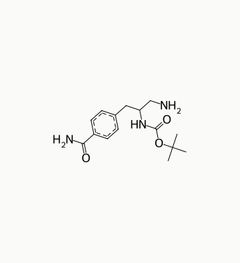 CC(C)(C)OC(=O)NC(CN)Cc1ccc(C(N)=O)cc1